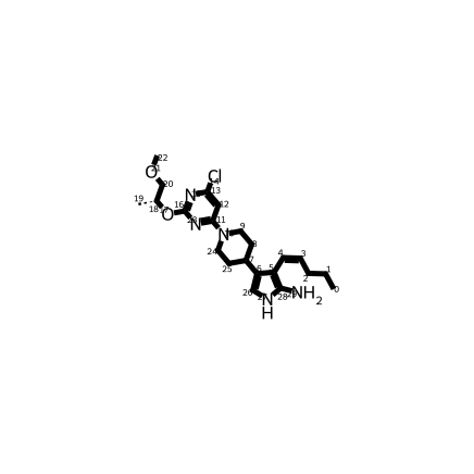 CCC/C=C\c1c(C2CCN(c3cc(Cl)nc(O[C@H](C)COC)n3)CC2)c[nH]c1N